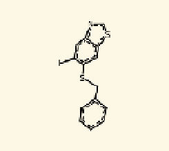 Ic1cc2ncsc2cc1SCc1ccccc1